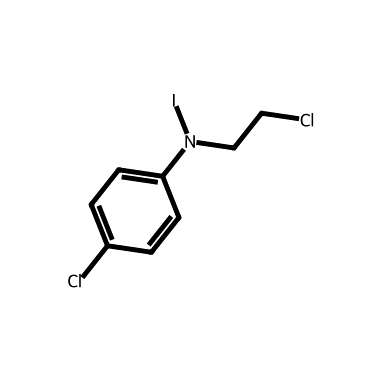 ClCCN(I)c1ccc(Cl)cc1